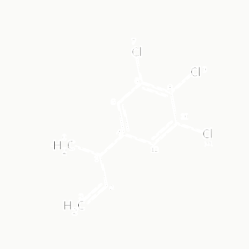 [CH2]C(C=C)c1cc(Cl)c(Cl)c(Cl)c1